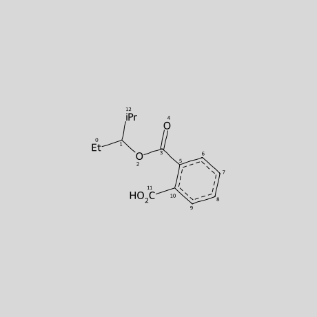 CCC(OC(=O)c1ccccc1C(=O)O)C(C)C